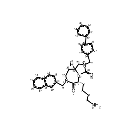 NCCCC[C@@H]1C(=O)N(Cc2ccc3ccccc3c2)CC[C@@H]2CN(Cc3ccc(-c4ccccc4)cc3)C(=O)N21